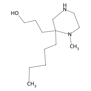 CCCCCC1(CCCO)CNCCN1C